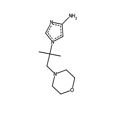 CC(C)(CN1CCOCC1)n1cnc(N)c1